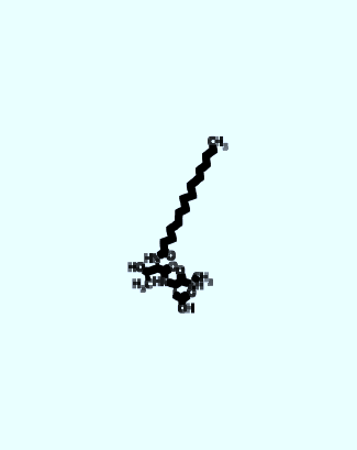 CCCCCCCCCCCCCCCC(=O)N[C@H](C(=O)N[C@@H](CC(=O)O)C(=O)NC)[C@@H](C)O